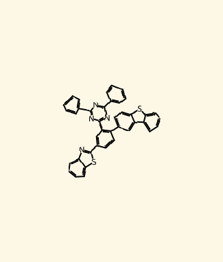 c1ccc(-c2nc(-c3ccccc3)nc(-c3cc(-c4nc5ccccc5s4)ccc3-c3ccc4sc5ccccc5c4c3)n2)cc1